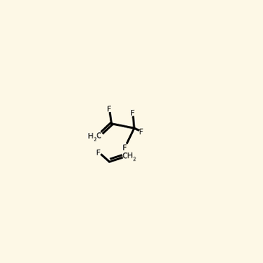 C=C(F)C(F)(F)F.C=CF